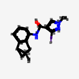 CC(C)[C@H]1C2CCC1c1c(NC(=O)c3cn(C)nc3I)cccc12